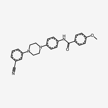 COc1ccc(C(=O)Nc2ccc(N3CCN(c4cccc(C#N)c4)CC3)cc2)cc1